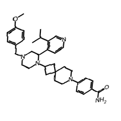 COc1ccc(CN2CCN(C3CC4(CCN(c5ccc(C(N)=O)cc5)CC4)C3)C(c3ccncc3C(C)C)C2)cc1